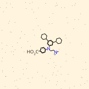 CN(C)CCN(c1ccc(C(=O)O)cc1)c1cc(C2CCCCC2)cc(C2CCCCC2)c1